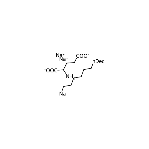 CCCCCCCCCCCCCCC[CH2][Na].NC(CCC(=O)[O-])C(=O)[O-].[Na+].[Na+]